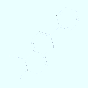 O=C1CC=C2[Te]C(c3ccccc3)=CC=C2C1O